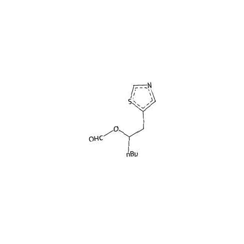 CCCCC(Cc1cncs1)OC=O